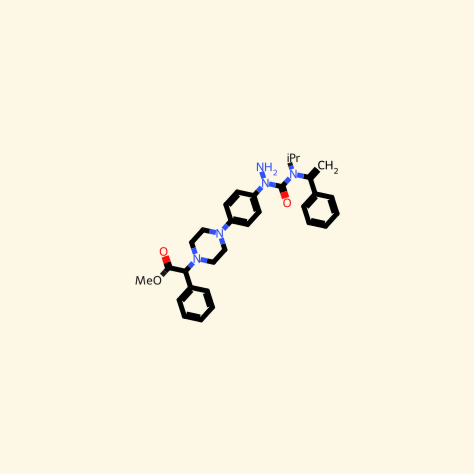 C=C(c1ccccc1)N(C(=O)N(N)c1ccc(N2CCN(C(C(=O)OC)c3ccccc3)CC2)cc1)C(C)C